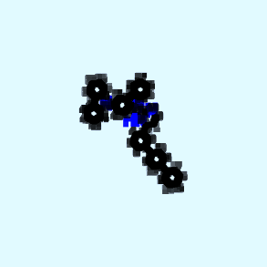 C1=CC(c2cccc(-c3ccc(-c4ccccc4)cc3)c2)NC(n2c3ccccc3c3cc(-n4c5ccccc5c5ccccc54)ccc32)=N1